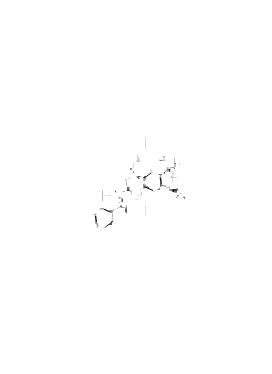 CCN(CC(=O)N[C@@H](C)c1ccccc1)c1ccc(C#N)c(C(F)(F)F)c1